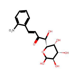 O=C(C=Cc1ccccc1[N+](=O)[O-])C(O)[C@H]1OC(O)[C@H](O)[C@@H](O)[C@H]1O